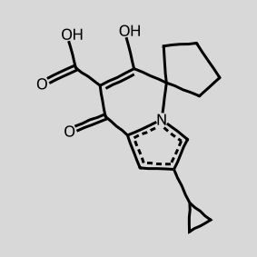 O=C(O)C1=C(O)C2(CCCC2)n2cc(C3CC3)cc2C1=O